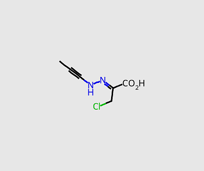 CC#CN/N=C(\CCl)C(=O)O